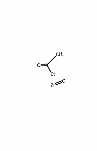 CCC(C)=O.[O]=[Zr]